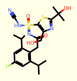 CC(C)c1cc(F)cc(C(C)C)c1CC(=O)N=[S@@](=O)(NC#N)c1sc(C(C)(C)O)nc1CO